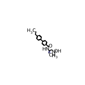 C/C=C(\CNO)NC(=O)c1ccc(-c2ccc(CCC)cc2)cc1